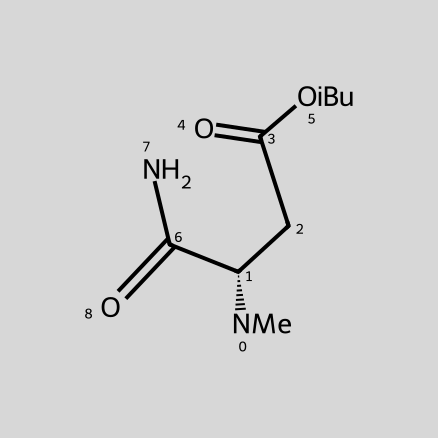 CN[C@@H](CC(=O)OCC(C)C)C(N)=O